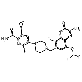 Cc1nc2c(OC(F)F)cc(CN3CCN(c4cc(C5CC5)c(C(N)=O)nc4F)CC3)c(F)c2[nH]c1=O